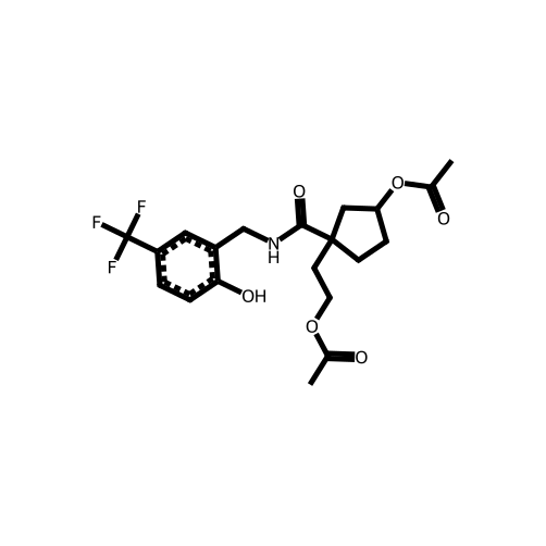 CC(=O)OCCC1(C(=O)NCc2cc(C(F)(F)F)ccc2O)CCC(OC(C)=O)C1